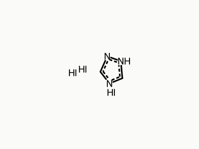 I.I.I.c1nc[nH]n1